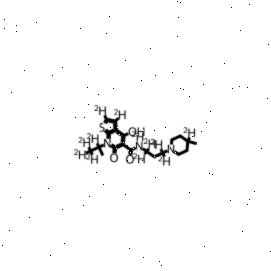 [2H]c1sc2c(c1[2H])c(O)c(C(=O)N([2H])C([2H])([2H])CC([2H])([2H])N1CCC([2H])(C)CC1)c(=O)n2C([2H])(C)C([2H])([2H])[2H]